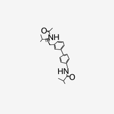 CC(=O)N[C@@H](Cc1cccc(-c2ccc(CNC(=O)C(C)C)cc2)c1)C(C)C